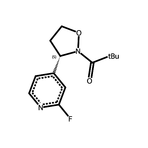 CC(C)(C)C(=O)N1OCC[C@H]1c1ccnc(F)c1